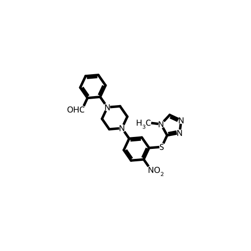 Cn1cnnc1Sc1cc(N2CCN(c3ccccc3C=O)CC2)ccc1[N+](=O)[O-]